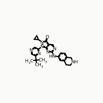 CC(C)(C)c1cncc(-n2c3nc(Nc4ccc5c(c4)CCNC5)ncc3c(=O)n2C2CC2)n1